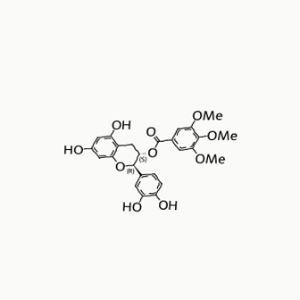 COc1cc(C(=O)O[C@H]2Cc3c(O)cc(O)cc3O[C@@H]2c2ccc(O)c(O)c2)cc(OC)c1OC